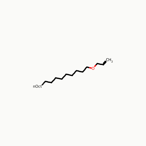 C=CCOCCCCCCCCCCCCCCCCC